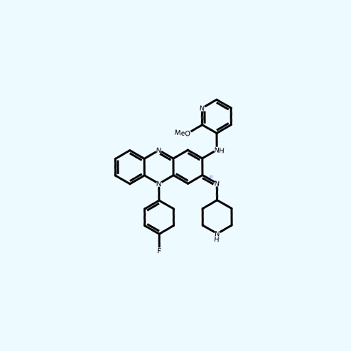 COc1ncccc1Nc1cc2nc3ccccc3n(C3=CC=C(F)CC3)c-2c/c1=N\C1CCNCC1